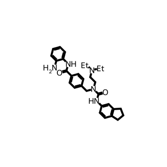 CCN(CC)CCN(Cc1ccc(C(=O)Nc2ccccc2N)cc1)C(=O)Nc1ccc2c(c1)CCC2